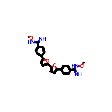 CONC(=N)c1ccc(-c2ccc(-c3ccc(-c4ccc(C(=N)NOC)cc4)o3)o2)cc1